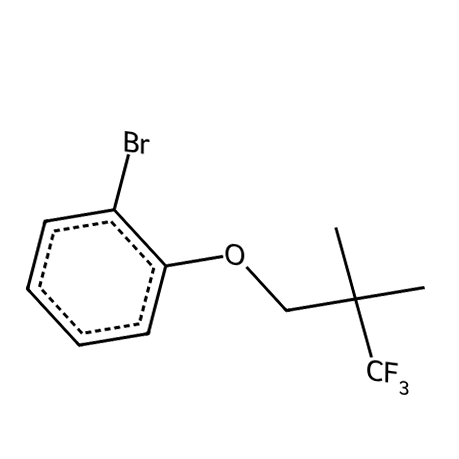 CC(C)(COc1ccccc1Br)C(F)(F)F